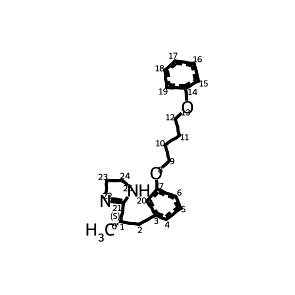 C[C@@H](Cc1cccc(OCCCCOc2ccccc2)c1)C1=NCCN1